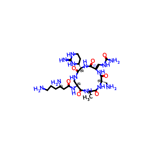 C[C@@H]1NC(=O)[C@@H](NC(=O)C[C@@H](N)CCCN)CNC(=O)[C@H](C2CCNC(=N)N2)NC(=O)/C(=C/NC(N)=O)NC(=O)[C@H](CN)NC1=O